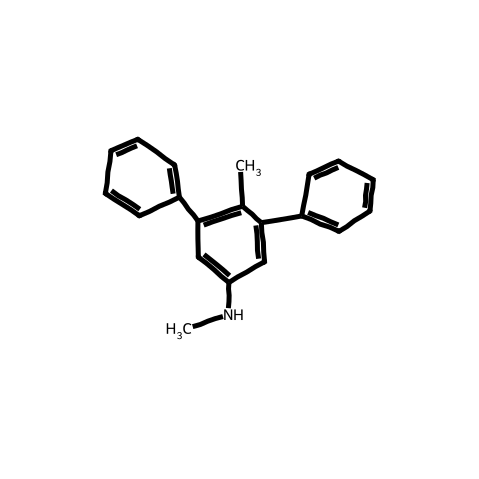 CNc1cc(-c2ccccc2)c(C)c(-c2ccccc2)c1